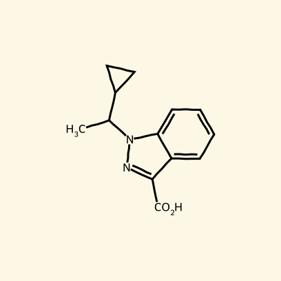 CC(C1CC1)n1nc(C(=O)O)c2ccccc21